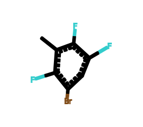 Cc1c(F)c(F)cc(Br)c1F